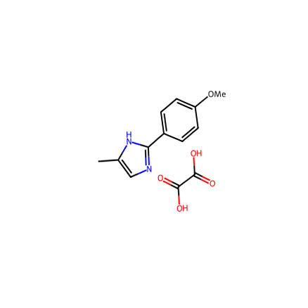 COc1ccc(-c2ncc(C)[nH]2)cc1.O=C(O)C(=O)O